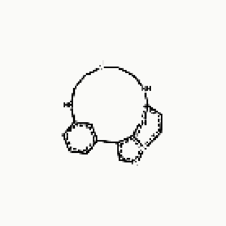 c1cc2cc(c1)-c1cnn3ccc(nc13)NCCNCCN2